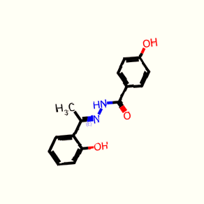 C/C(=N\NC(=O)c1ccc(O)cc1)c1ccccc1O